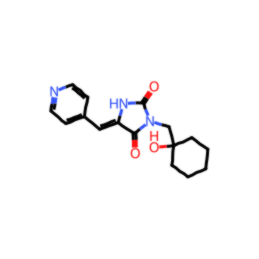 O=C1N/C(=C\c2ccncc2)C(=O)N1CC1(O)CCCCC1